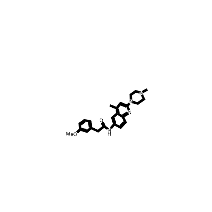 COc1cccc(CC(=O)Nc2ccc3nc(N4CCN(C)CC4)cc(C)c3c2)c1